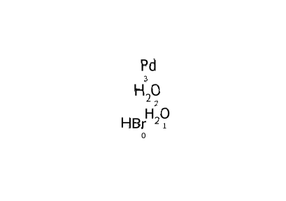 Br.O.O.[Pd]